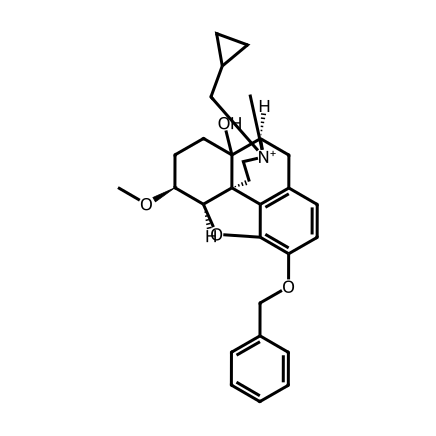 CO[C@H]1CCC2(O)[C@H]3Cc4ccc(OCc5ccccc5)c5c4[C@@]2(CC[N+]3(C)CC2CC2)[C@H]1O5